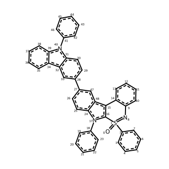 O=S1(c2ccccc2)=Nc2ccccc2-c2c1n(-c1ccccc1)c1ccc(-c3ccc4c(c3)c3ccccc3n4-c3ccccc3)cc21